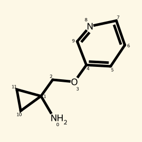 NC1(COc2cccnc2)CC1